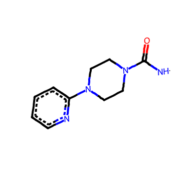 [NH]C(=O)N1CCN(c2ccccn2)CC1